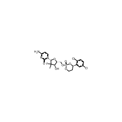 Nc1ccn([C@@H]2O[C@H](CO[P@]3(=O)OCC[C@H](c4cc(Cl)ccc4Cl)O3)[C@@H](O)C2(F)F)c(=O)n1